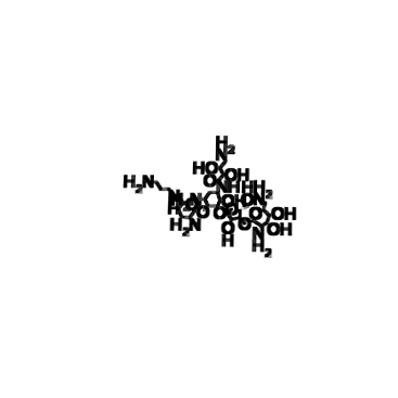 NCCCNC[C@@H]1CC[C@@H](N)[C@@H](O[C@H]2[C@H](O[C@@H]3O[C@H](CO)[C@@H](O[C@H]4O[C@@H](CN)[C@@H](O)[C@H](O)[C@H]4N)[C@H]3O)[C@@H](O)[C@H](NC(=O)[C@@H](O)[C@@H](O)CN)C[C@@H]2N)O1